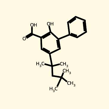 CC(C)(C)CC(C)(C)c1cc(C(=O)O)c(O)c(-c2ccccc2)c1